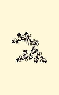 CC(C)(C)OC(=O)CC[C@H](NC(=O)N[C@@H](CCC(=O)N[C@@H](CCCCN(Cc1nccn1CC(=O)N(CC(=O)OC(C)(C)C)CC(=O)OC(C)(C)C)Cc1nccn1CC(=O)N(CC(=O)OC(C)(C)C)CC(=O)OC(C)(C)C)C(=O)O)C(=O)OC(C)(C)C)C(=O)OC(C)(C)C